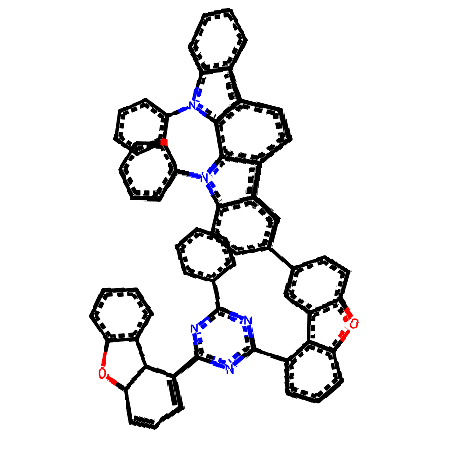 C1=CC2Oc3ccccc3C2C(c2nc(-c3ccccc3)nc(-c3cccc4oc5ccc(-c6ccc7c(c6)c6ccc8c9ccccc9n(-c9ccccc9)c8c6n7-c6ccccc6)cc5c34)n2)=C1